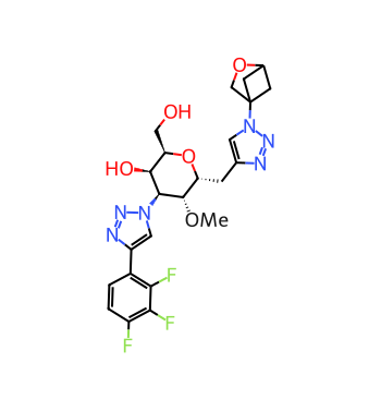 CO[C@@H]1[C@@H](n2cc(-c3ccc(F)c(F)c3F)nn2)[C@@H](O)[C@@H](CO)O[C@@H]1Cc1cn(C23COC(C2)C3)nn1